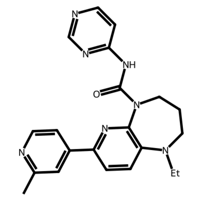 CCN1CCCN(C(=O)Nc2ccncn2)c2nc(-c3ccnc(C)c3)ccc21